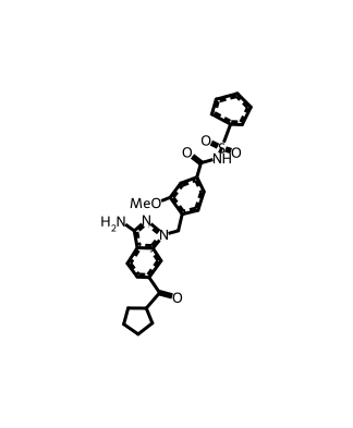 COc1cc(C(=O)NS(=O)(=O)c2ccccc2)ccc1Cn1nc(N)c2ccc(C(=O)C3CCCC3)cc21